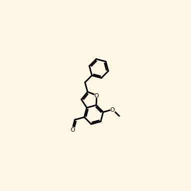 COc1ccc(C=O)c2cc(Cc3ccccc3)oc12